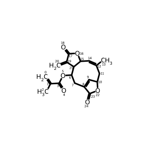 C=C(C)C(=O)OC1CC2=CC(CC(C)=CC3OC(=O)C(=C)C31)OC2=O